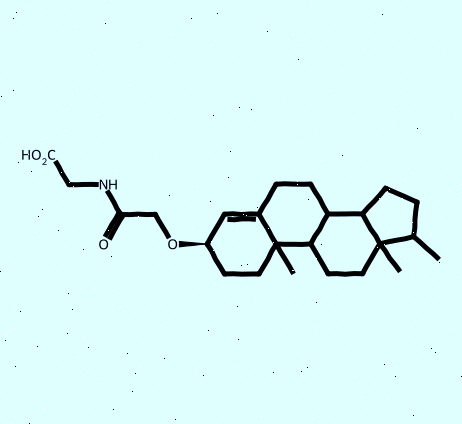 CC1CCC2C3CCC4=C[C@H](OCC(=O)NCC(=O)O)CCC4(C)C3CCC12C